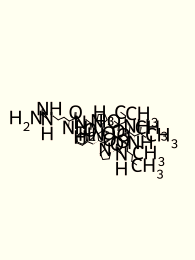 CC[C@H](C)[C@H](NC(=O)[C@@H](NC(=O)[C@@H]1CCCN1C(=O)[C@H](Cc1ccccc1)NC(=O)[C@@H]1CCCN1C(=O)CNC(=O)[C@@H](N)CCCNC(=N)N)[C@@H](C)CC)C(=O)N[C@H](C(=O)O)C(C)C